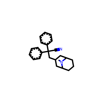 CN1C2CCCC1CC(CC(C#N)(c1ccccc1)c1ccccc1)C2